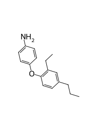 CCCc1ccc(Oc2ccc(N)cc2)c(CC)c1